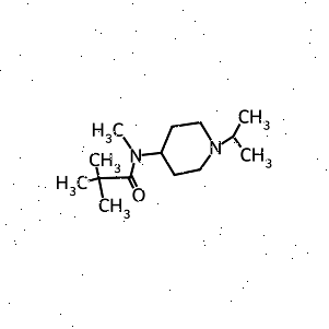 CC(C)N1CCC(N(C)C(=O)C(C)(C)C)CC1